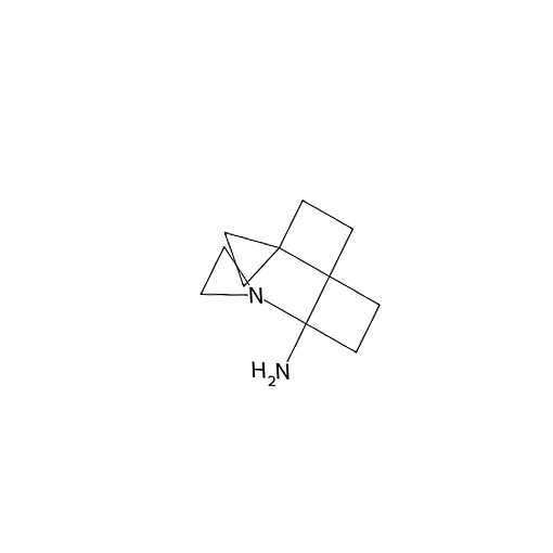 NC1(N2CC2)CCC12CCC21CC1